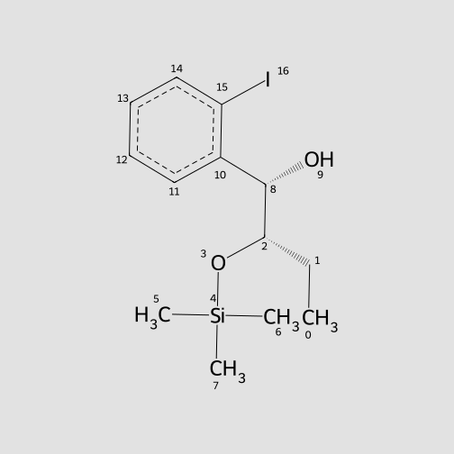 CC[C@H](O[Si](C)(C)C)[C@@H](O)c1ccccc1I